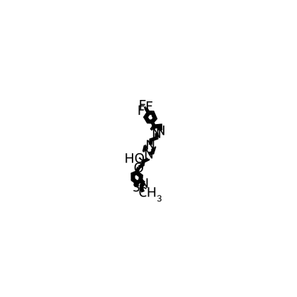 Cc1nc2cc(OC[C@@H](O)CN3CCN(CCn4cc(-c5ccc(C(F)(F)F)cc5)cn4)CC3)ccc2s1